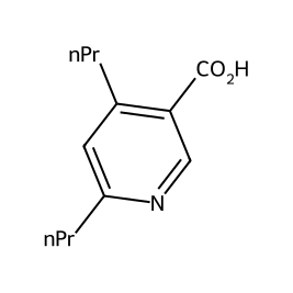 CCCc1cc(CCC)c(C(=O)O)cn1